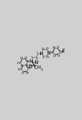 CS(=O)(=O)N(CCCN1CCN(c2ccc(F)cc2)CC1)c1cccc2ccccc12